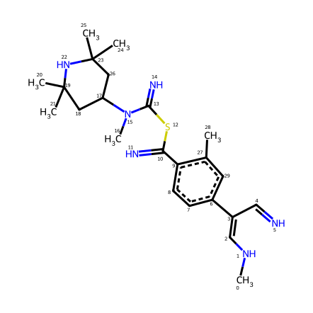 CN/C=C(\C=N)c1ccc(C(=N)SC(=N)N(C)C2CC(C)(C)NC(C)(C)C2)c(C)c1